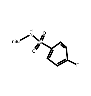 CCCCNS(=O)(=O)c1ccc(F)cc1